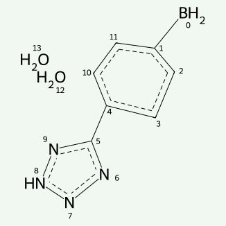 Bc1ccc(-c2nn[nH]n2)cc1.O.O